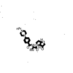 CCCN1CCN(c2ccc(C(=O)NC(C(=O)N3CC[C@H]4OCC(=O)[C@H]43)C(C)CC)cc2)CC1